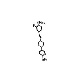 CCCCCCc1ccc(C#CC2CCC(c3ccc(CCC)cc3)CC2)cc1F